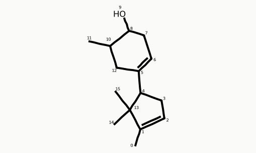 CC1=CCC(C2=CCC(O)C(C)C2)C1(C)C